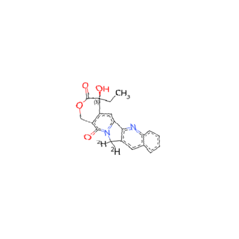 [2H]C1([2H])c2cc3ccccc3nc2-c2cc3c(c(=O)n21)COC(=O)[C@]3(O)CC